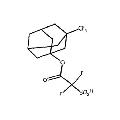 O=C(OC12CC3CC(C1)CC(C(F)(F)F)(C3)C2)C(F)(F)S(=O)(=O)O